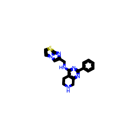 c1ccc(-c2nc3c(c(NCc4cn5ccsc5n4)n2)CCNC3)cc1